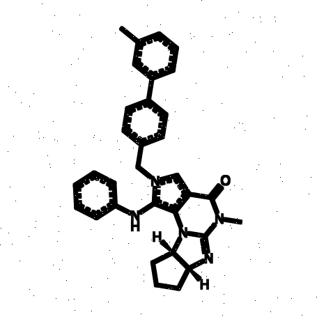 Cc1cccc(-c2ccc(Cn3cc4c(c3Nc3ccccc3)N3C(=N[C@@H]5CCC[C@@H]53)N(C)C4=O)cc2)c1